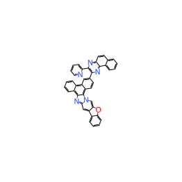 c1ccc(-c2nc3ccc4ccccc4c3nc2-c2ccc3c(c2)c2ccccc2c2nc4cc5c(cn4c32)oc2ccccc25)nc1